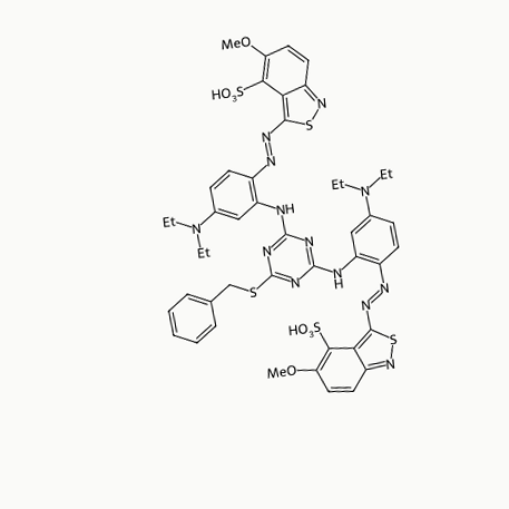 CCN(CC)c1ccc(/N=N/c2snc3ccc(OC)c(S(=O)(=O)O)c23)c(Nc2nc(Nc3cc(N(CC)CC)ccc3/N=N/c3snc4ccc(OC)c(S(=O)(=O)O)c34)nc(SCc3ccccc3)n2)c1